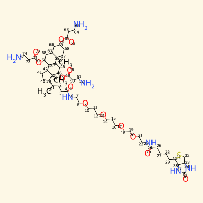 C[C@H](CCC(=O)NCCOCCCOCCCOCCOCCNC(=O)CCCC[C@H]1SCC2NC(=O)NC21)C1CCC2C3C(C[C@H](OC(=O)CCN)[C@@]21C)[C@@]1(C)CC[C@@H](OC(=O)CCN)CC1C[C@H]3OC(=O)CCN